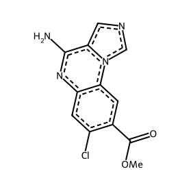 COC(=O)c1cc2c(cc1Cl)nc(N)c1cncn12